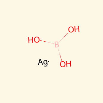 OB(O)O.[Ag]